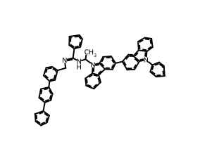 CC(N/C(=N\Cc1cccc(-c2ccc(-c3ccccc3)cc2)c1)c1ccccc1)n1c2ccccc2c2cc(-c3ccc4c(c3)c3ccccc3n4-c3ccccc3)ccc21